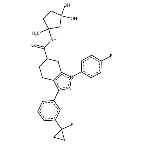 CC1(NC(=O)C2CCc3c(-c4cccc(C5(F)CC5)c4)nn(-c4ccc(F)cc4)c3C2)CCS(O)(O)C1